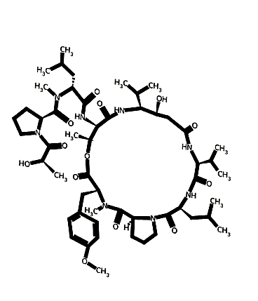 COc1ccc(C[C@H]2C(=O)O[C@@H](C)[C@@H](NC(=O)[C@@H](CC(C)C)N(C)C(=O)[C@@H]3CCCN3C(=O)[C@@H](C)O)C(=O)N[C@@H](C(C)C)[C@@H](O)CC(=O)N[C@@H](C(C)C)C(=O)N[C@@H](CC(C)C)C(=O)N3CCC[C@H]3C(=O)N2C)cc1